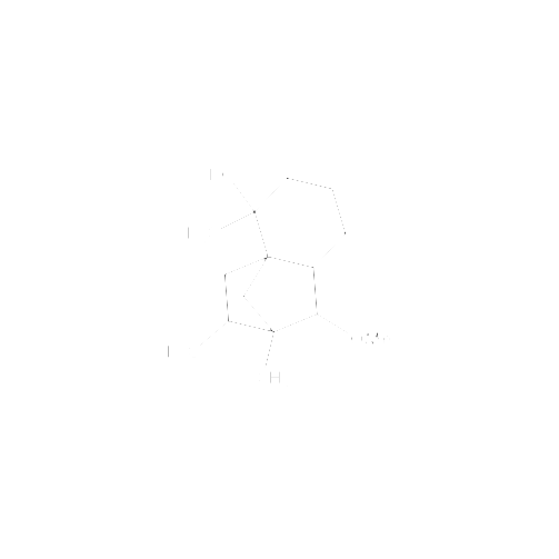 COC1C2CCCC(C)(C)C23CC(C)C1(C)C3